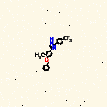 Cc1cc(-c2c[nH]c(-c3ccc(C(F)(F)F)cc3)n2)ccc1OCc1ccccc1